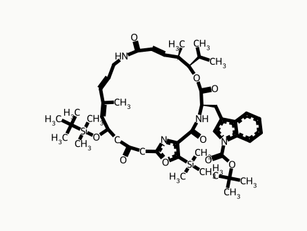 CC1=C\C(O[Si](C)(C)C(C)(C)C)CC(=O)Cc2nc(c([Si](C)(C)C)o2)C(=O)N[C@H](Cc2cn(C(=O)OC(C)(C)C)c3ccccc23)C(=O)O[C@H](C(C)C)[C@H](C)/C=C/C(=O)NC\C=C\1